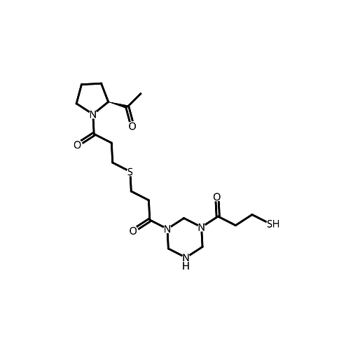 CC(=O)[C@@H]1CCCN1C(=O)CCSCCC(=O)N1CNCN(C(=O)CCS)C1